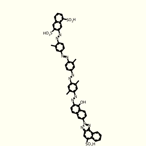 Cc1cc(N=Nc2cc(C)c(N=Nc3ccc4cc(-n5nc6cc(S(=O)(=O)O)c7ccccc7c6n5)ccc4c3O)cc2C)ccc1N=Nc1ccc(N=Nc2cc3c(S(=O)(=O)O)cccc3cc2S(=O)(=O)O)c(C)c1